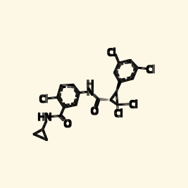 O=C(NC1CC1)c1cc(NC(=O)[C@@H]2[C@@H](c3cc(Cl)cc(Cl)c3)C2(Cl)Cl)ccc1Cl